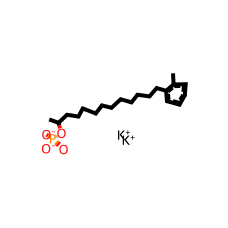 Cc1ccccc1CCCCCCCCCCCC(C)OP(=O)([O-])[O-].[K+].[K+]